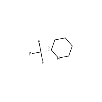 FC(F)(F)[C@@H]1CCCC[N]1